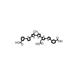 Cc1cc(-c2ccc(-c3cccc(C(=O)O)c3)s2)sc1-c1ccc(-c2sc(-c3ccc(-c4cccc(C(=O)O)c4)s3)cc2CC(=O)O)s1